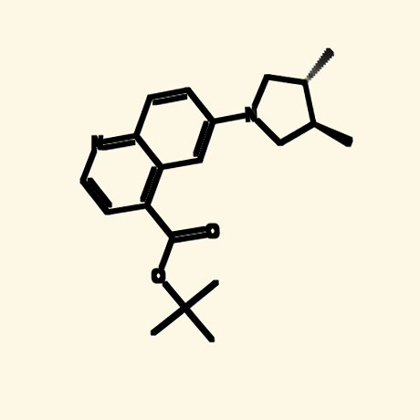 C[C@H]1CN(c2ccc3nccc(C(=O)OC(C)(C)C)c3c2)C[C@@H]1C